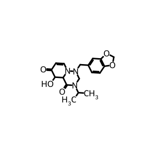 CC(C)N1CN(Cc2ccc3c(c2)OCO3)N2C=CC(=O)C(O)C2C1=O